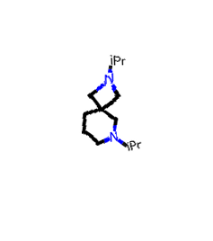 CC(C)N1CCCC2(C1)CN(C(C)C)C2